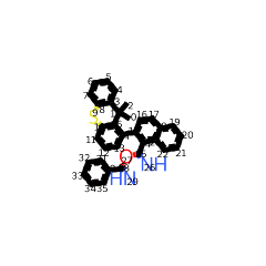 CC1(C)c2ccccc2Sc2cccc(-c3ccc4ccccc4c3C(=N)OC(=N)c3ccccc3)c21